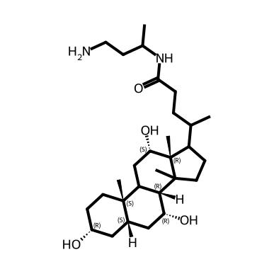 CC(CCN)NC(=O)CCC(C)C1CCC2(C)[C@H]3C(C[C@H](O)[C@]12C)[C@@]1(C)CC[C@@H](O)C[C@H]1C[C@H]3O